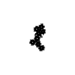 Cc1cc(C2(C3=CCCC=C3)c3ccccc3-c3ccccc32)cc(C)c1-c1ccc(N(c2ccccc2)c2ccc(-c3ccccc3)cc2)cc1